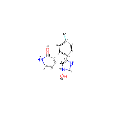 O=c1cc(-c2c(-c3ccc(F)cc3)ncn2O)cc[nH]1